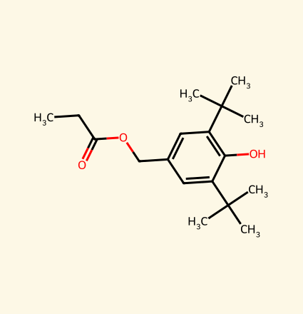 CCC(=O)OCc1cc(C(C)(C)C)c(O)c(C(C)(C)C)c1